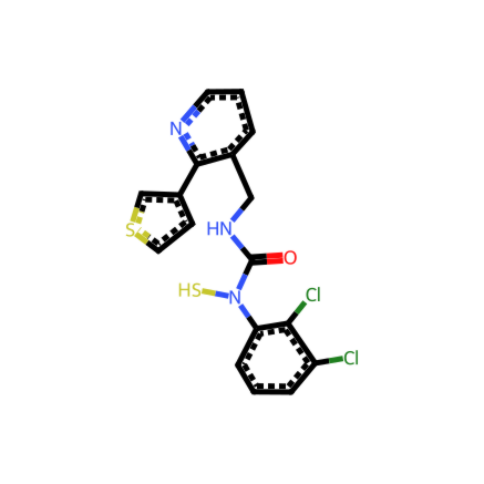 O=C(NCc1cccnc1-c1ccsc1)N(S)c1cccc(Cl)c1Cl